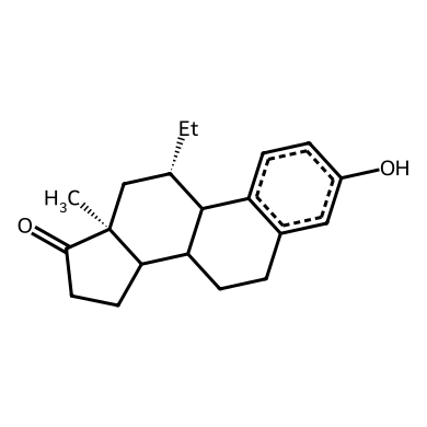 CC[C@H]1C[C@]2(C)C(=O)CCC2C2CCc3cc(O)ccc3C21